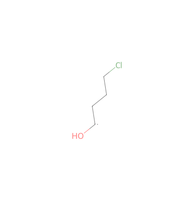 O[CH]CCCCl